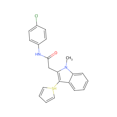 Cn1c(CC(=O)Nc2ccc(Cl)cc2)c([SH]2C=CC=C2)c2ccccc21